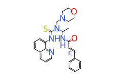 CC(NC(=O)/C=C/c1ccccc1)N(CN1CCOCC1)C(=S)Nc1cccc2cccnc12